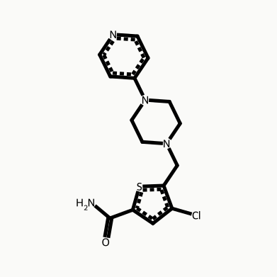 NC(=O)c1cc(Cl)c(CN2CCN(c3ccncc3)CC2)s1